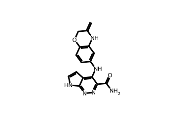 C=C1COc2ccc(Nc3c(C(N)=O)nnc4[nH]ccc34)cc2N1